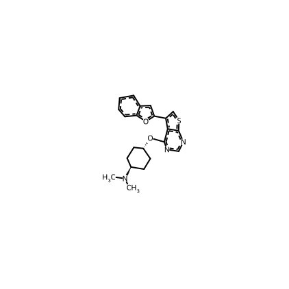 CN(C)[C@H]1CC[C@H](Oc2ncnc3scc(-c4cc5ccccc5o4)c23)CC1